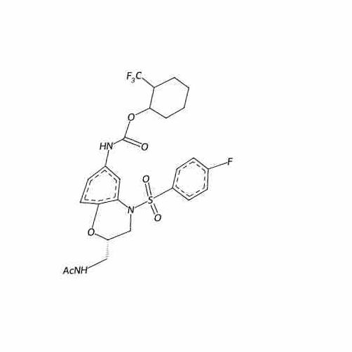 CC(=O)NC[C@H]1CN(S(=O)(=O)c2ccc(F)cc2)c2cc(NC(=O)OC3CCCCC3C(F)(F)F)ccc2O1